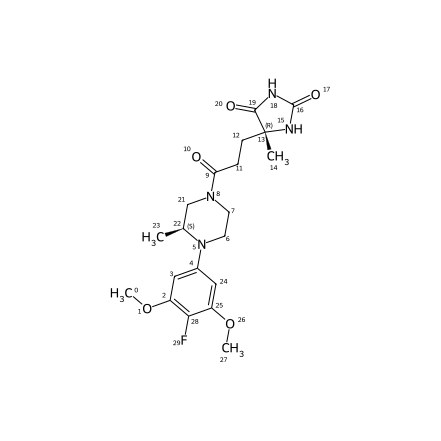 COc1cc(N2CCN(C(=O)CC[C@@]3(C)NC(=O)NC3=O)C[C@@H]2C)cc(OC)c1F